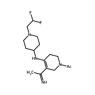 CC(=N)C1=C(NC2CCN(CC(F)F)CC2)CCN(C(C)=O)C1